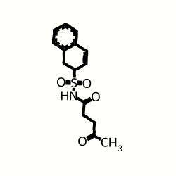 CC(=O)CCC(=O)NS(=O)(=O)C1C=Cc2ccccc2C1